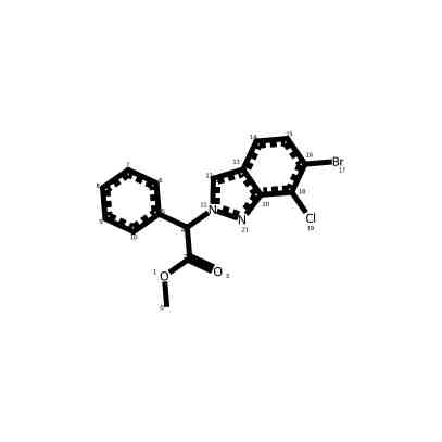 COC(=O)C(c1ccccc1)n1cc2ccc(Br)c(Cl)c2n1